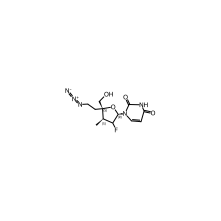 C[C@@H]1C(F)[C@H](n2ccc(=O)[nH]c2=O)O[C@@]1(CO)CCN=[N+]=[N-]